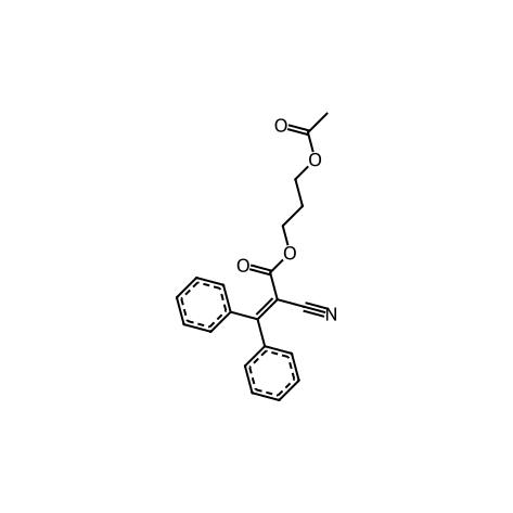 CC(=O)OCCCOC(=O)C(C#N)=C(c1ccccc1)c1ccccc1